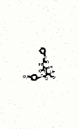 O=C(COc1ccccc1)NC1C(=O)N(C(C(=O)OCc2ccc([N+](=O)[O-])cc2)=C(O)CBr)C1S